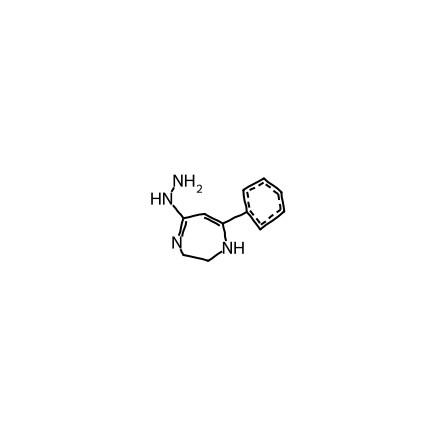 NNC1=NCCNC(c2ccccc2)=C1